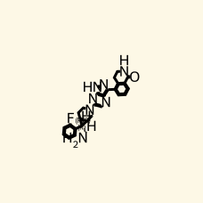 NC[C@]1(c2ccccc2F)[C@@H]2CCN(c3cnc4c(-c5cccc6c5CCNC6=O)n[nH]c4n3)C[C@@H]21